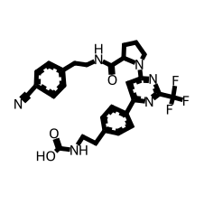 N#Cc1ccc(CCNC(=O)C2CCCN2c2cc(-c3ccc(CCNC(=O)O)cc3)nc(C(F)(F)F)n2)cc1